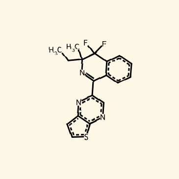 CCC1(C)N=C(c2cnc3sccc3n2)c2ccccc2C1(F)F